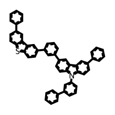 c1ccc(-c2cccc(-n3c4ccc(-c5ccccc5)cc4c4cc(-c5cccc(-c6ccc7sc8ccc(-c9ccccc9)cc8c7c6)c5)ccc43)c2)cc1